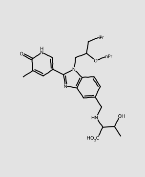 CCCOC(CC(C)C)Cn1c(-c2c[nH]c(=O)c(C)c2)nc2cc(CNC(C(=O)O)C(C)O)ccc21